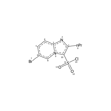 CCCc1nc2ccc(Br)cn2c1S(=O)(=O)Cl